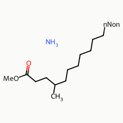 CCCCCCCCCCCCCCCCC(C)CCC(=O)OC.N